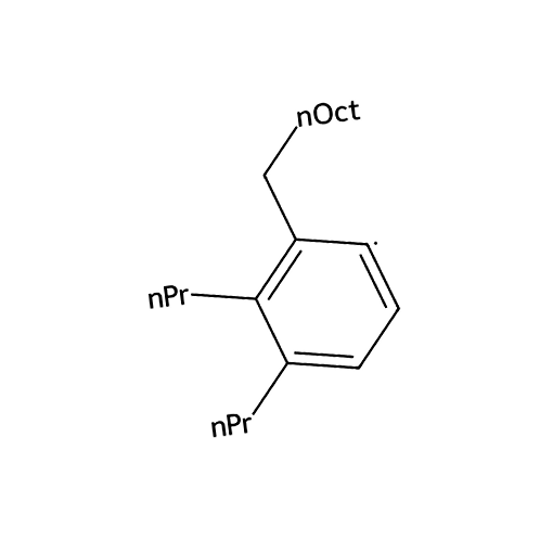 CCCCCCCCCc1[c]ccc(CCC)c1CCC